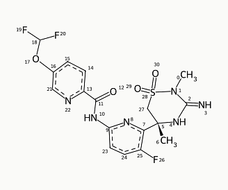 CN1C(=N)N[C@](C)(c2nc(NC(=O)c3ccc(OC(F)F)cn3)ccc2F)CS1(=O)=O